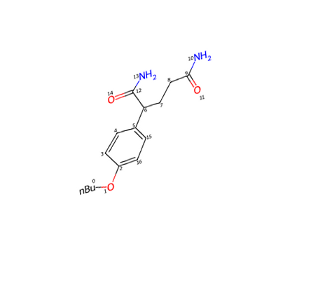 CCCCOc1ccc(C(CCC(N)=O)C(N)=O)cc1